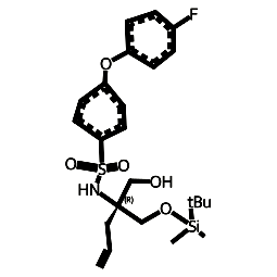 C=CC[C@@](CO)(CO[Si](C)(C)C(C)(C)C)NS(=O)(=O)c1ccc(Oc2ccc(F)cc2)cc1